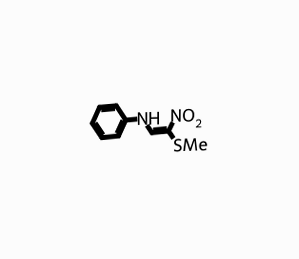 CSC(=CNc1ccccc1)[N+](=O)[O-]